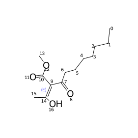 CCCCCCCC(=O)/C(C(=O)OC)=C(/C)O